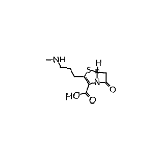 CNCCCC1=C(C(=O)O)N2C(=O)C[C@H]2S1